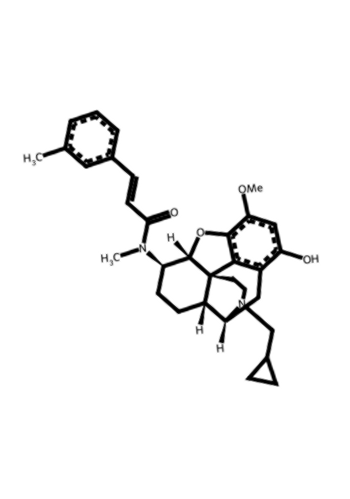 COc1cc(O)c2c3c1O[C@H]1[C@H](N(C)C(=O)C=Cc4cccc(C)c4)CC[C@H]4[C@@H](C2)N(CC2CC2)CC[C@@]341